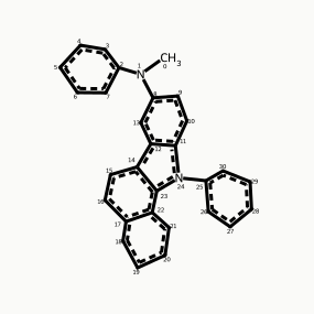 CN(c1ccccc1)c1ccc2c(c1)c1ccc3ccccc3c1n2-c1ccccc1